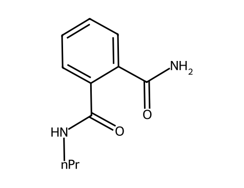 CCCNC(=O)c1ccccc1C(N)=O